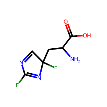 NC(CC1(F)C=NC(F)=N1)C(=O)O